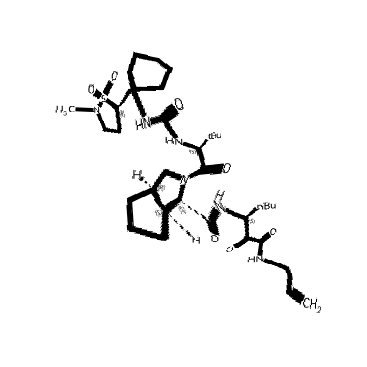 C=CCNC(=O)C(=O)[C@H](CCCC)NC(=O)[C@@H]1[C@H]2CCC[C@H]2CN1C(=O)[C@@H](NC(=O)NC1([C@H]2CCN(C)S2(=O)=O)CCCCC1)C(C)(C)C